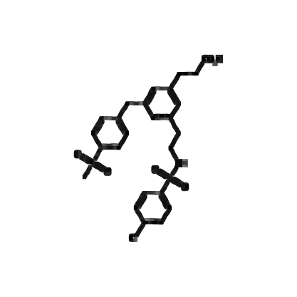 CS(=O)(=O)c1ccc(Cc2cc(CCNS(=O)(=O)c3ccc(Cl)cc3)cc(CCC(=O)O)c2)cc1